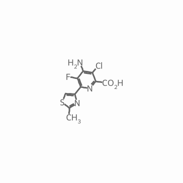 Cc1nc(-c2nc(C(=O)O)c(Cl)c(N)c2F)cs1